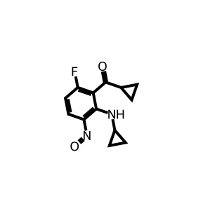 O=Nc1ccc(F)c(C(=O)C2CC2)c1NC1CC1